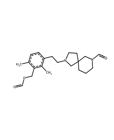 Cc1ccc(CCN2CCC3(CCCN(C=O)C3)C2)c(C)c1COC=O